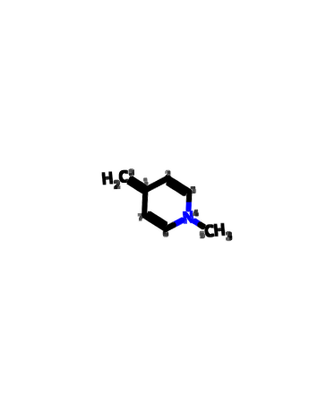 C=C1C=CN(C)C=C1